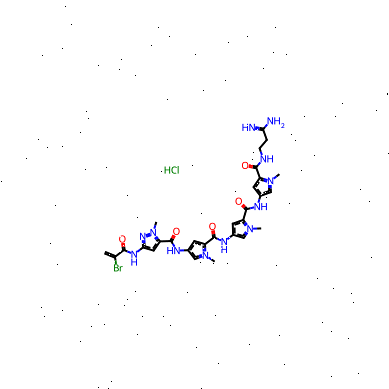 C=C(Br)C(=O)Nc1cc(C(=O)Nc2cc(C(=O)Nc3cc(C(=O)Nc4cc(C(=O)NCCC(=N)N)n(C)c4)n(C)c3)n(C)c2)n(C)n1.Cl